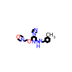 Cc1cccc(C=NNc2cc(-n3ccnc3)cc(OCCN3CCOCC3)n2)c1